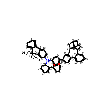 CC1(C)c2ccccc2-c2ccc(N(c3ccc(-c4ccc5c(c4)C4CC6CC7CC(c8ccccc8-5)C764)cc3)c3ccccc3-c3ccccc3)cc21